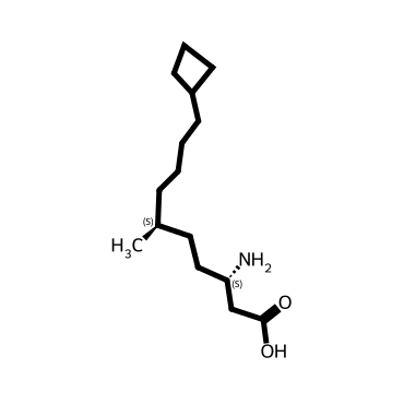 C[C@@H](CCCCC1CCC1)CC[C@H](N)CC(=O)O